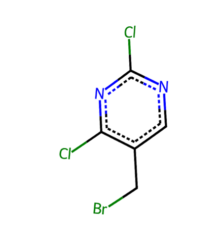 Clc1ncc(CBr)c(Cl)n1